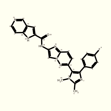 Cc1nc(-c2ccc(F)cc2)c(-c2ccc3nc(NC(=O)c4cc5cnccc5[nH]4)cn3n2)n1C